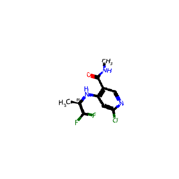 CNC(=O)c1cnc(Cl)cc1N[C@H](C)C(F)F